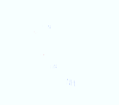 COc1cc(N(C)C(C)=O)c(C(C)C)cc1CNC1CCCN[C@H]1C1C=CC=CC1